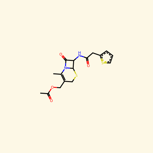 CC(=O)OCC1=C(C)N2C(=O)C(NC(=O)Cc3cccs3)C2SC1